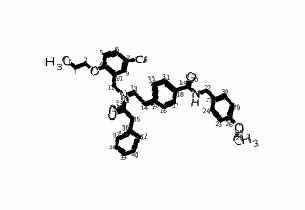 CCCOc1ccc(Cl)cc1CN(CCc1ccc(C(=O)NCc2ccc(OC)cc2)cc1)C(=O)Cc1ccccc1